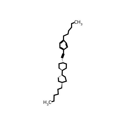 CCCCCCc1ccc(C#C[C@H]2CC[C@H]([C@H]3CC[C@H](CCCCCC)CC3)CC2)cc1